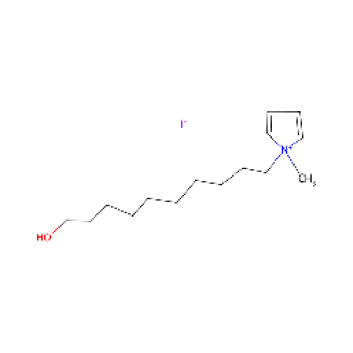 C[N+]1(CCCCCCCCCCO)C=CC=C1.[I-]